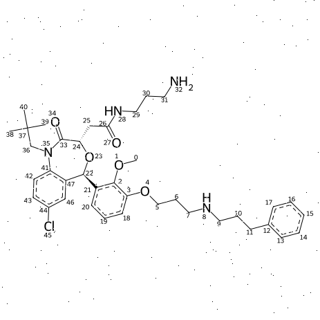 COc1c(OCCCNCCCc2ccccc2)cccc1[C@@H]1O[C@@H](CC(=O)NCCCN)C(=O)N(CC(C)(C)C)c2ccc(Cl)cc21